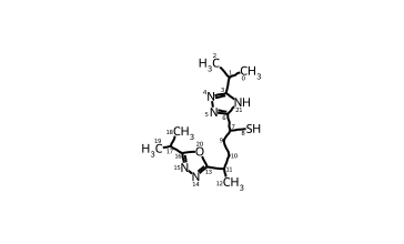 CC(C)c1nnc(C(S)CCC(C)c2nnc(C(C)C)o2)[nH]1